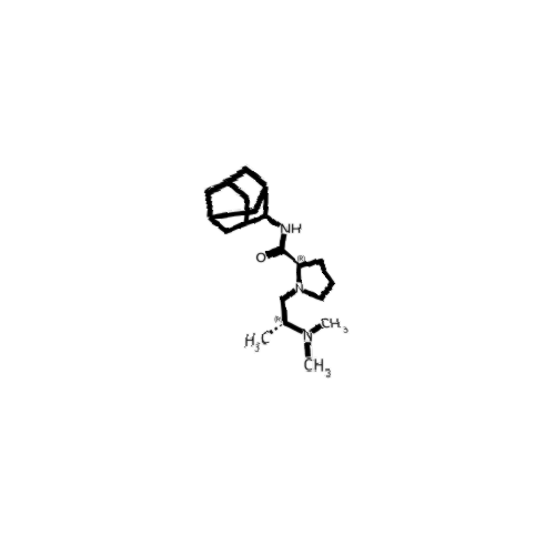 C[C@H](CN1CCC[C@@H]1C(=O)NC1C2CC3CC(C2)CC1C3)N(C)C